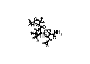 CC(C)C(=O)NC(C(=O)N1C[C@H]2C([C@H]1C(=O)NC(CC1CC1)C(=O)C(N)=O)C2(C)C)C(C)(C)C